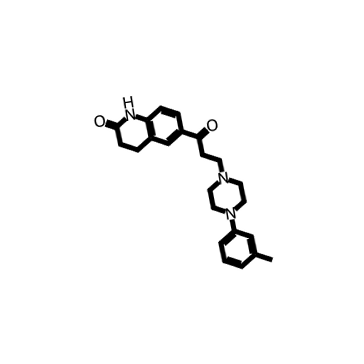 Cc1cccc(N2CCN(CCC(=O)c3ccc4c(c3)CCC(=O)N4)CC2)c1